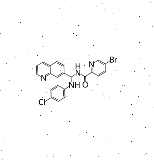 O=C(NC(Nc1ccc(Cl)cc1)c1ccc2cccnc2c1)c1ccc(Br)cn1